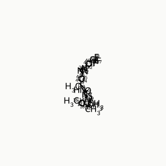 C/C(=C\NC(=O)/N=c1\scc(C)n1-c1cc(C)ccc1C(C)C)c1ccc(-c2ncn(-c3ccc(OC(F)(F)F)cc3)n2)cc1